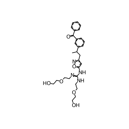 CC(Cc1cc(NC(=NCCOCCO)NCCOCCO)on1)c1cccc(C(=O)c2ccccc2)c1